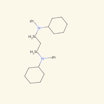 CC(C)N([SiH2]C[SiH2]N(C(C)C)C1CCCCC1)C1CCCCC1